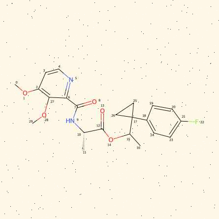 COc1ccnc(C(=O)N[C@@H](C)C(=O)OC(C)C2(c3ccc(F)cc3)CC2)c1OC